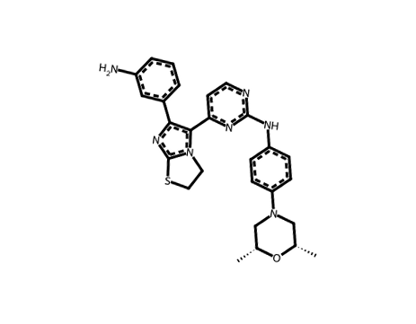 C[C@@H]1CN(c2ccc(Nc3nccc(-c4c(-c5cccc(N)c5)nc5n4CCS5)n3)cc2)C[C@H](C)O1